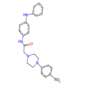 O=C(CN1CCN(c2ccc([N+](=O)[O-])cc2)CC1)Nc1ccc(Nc2ccccc2)cc1